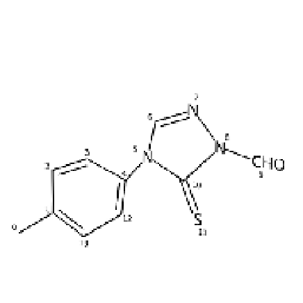 Cc1ccc(-n2cnn(C=O)c2=S)cc1